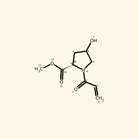 C=CC(=O)N1CC(O)C[C@H]1C(=O)OC